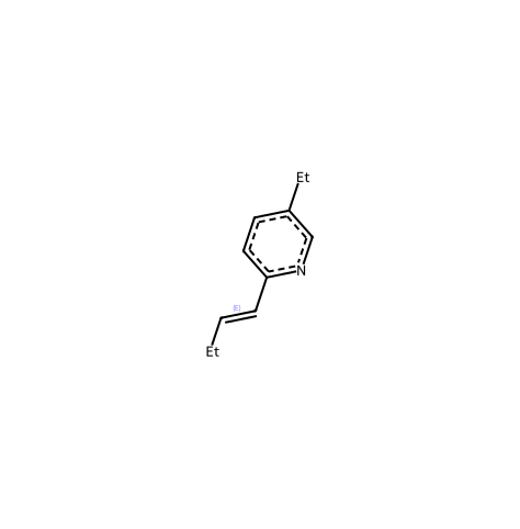 CC/C=C/c1ccc(CC)cn1